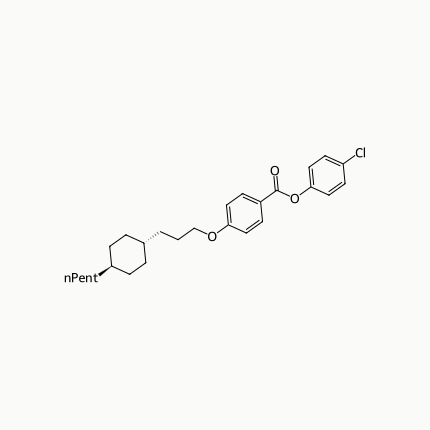 CCCCC[C@H]1CC[C@H](CCCOc2ccc(C(=O)Oc3ccc(Cl)cc3)cc2)CC1